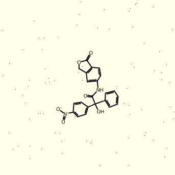 O=C1OCc2cc(NC(=O)C(O)(c3ccccc3)c3ccc([N+](=O)[O-])cc3)ccc21